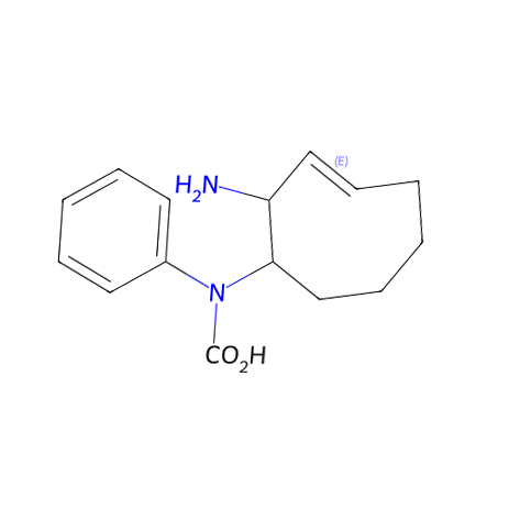 NC1/C=C/CCCCC1N(C(=O)O)c1ccccc1